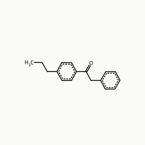 CCCc1ccc(C(=O)Cc2ccccc2)cc1